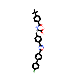 CC(C)(C)c1ccc(C(=O)N[C@@H](Cc2ccc(-c3noc(-c4ccc(-c5ccc(Cl)cc5)cc4)n3)cc2)C(=O)O)cc1